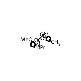 CCCN1CC(COS(=O)(=O)c2ccc(C)cc2)Oc2c(OC)cccc21